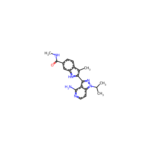 CNC(=O)c1ccc2c(C)c(-c3nn(C(C)C)c4ccnc(N)c34)[nH]c2c1